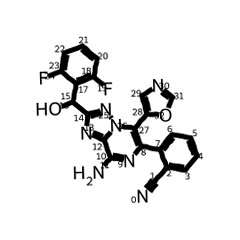 N#Cc1ccccc1-c1nc(N)c2nc(C(O)c3c(F)cccc3F)nn2c1-c1cnco1